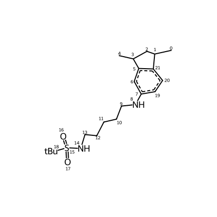 CC1CC(C)c2cc(NCCCCCNS(=O)(=O)C(C)(C)C)ccc21